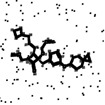 COCO[C@@]1(Cc2cc(OC3CCC4(CC3)CC4)ccn2)C(=O)N(COC)[C@H]1CSCC1CCC1